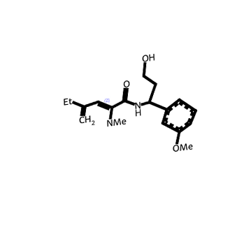 C=C(/C=C(\NC)C(=O)NC(CCO)c1cccc(OC)c1)CC